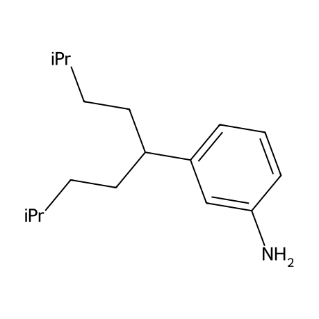 CC(C)CCC(CCC(C)C)c1cccc(N)c1